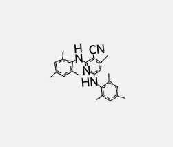 Cc1cc(C)c(Nc2cc(C)c(C#N)c(Nc3c(C)cc(C)cc3C)n2)c(C)c1